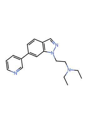 CCN(CC)CCn1ncc2ccc(-c3cccnc3)cc21